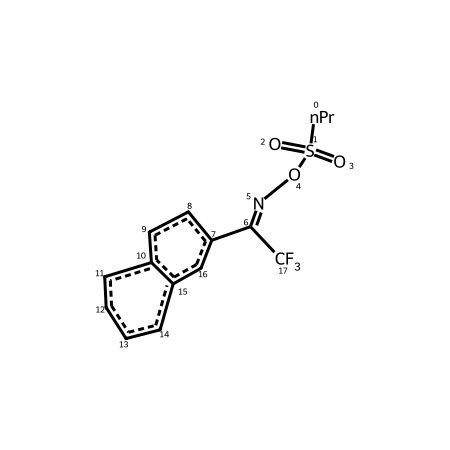 CCCS(=O)(=O)O/N=C(/c1ccc2ccccc2c1)C(F)(F)F